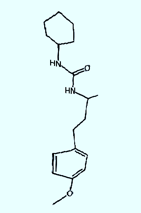 COc1ccc(CCC(C)NC(=O)NC2CCCCC2)cc1